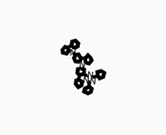 c1ccc(-c2nc(-c3ccccc3)nc(-c3cc(-n4c5ccccc5c5cc(-n6c7ccccc7c7ccccc76)ccc54)ccc3-c3ccccc3)n2)cc1